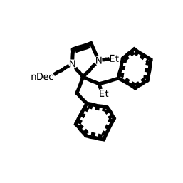 CCCCCCCCCCN1C=CN(CC)C1(Cc1ccccc1)C(CC)c1ccccc1